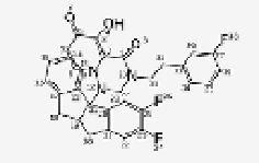 O=C1c2c(O)c(=O)ccn2N(C23c4ccccc4CC2Cc2cc(F)c(F)cc23)CN1CCc1cccc(F)c1